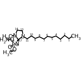 CCCCCCCCCCCCN1CCN(C)/C1=N\P(=O)(OC)ON